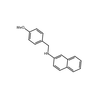 COc1ccc(CNc2ccc3ccccc3c2)cc1